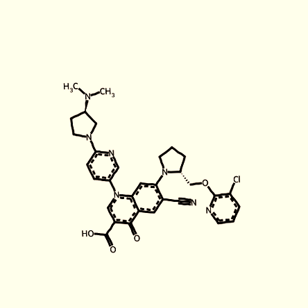 CN(C)[C@@H]1CCN(c2ccc(-n3cc(C(=O)O)c(=O)c4cc(C#N)c(N5CCC[C@@H]5COc5ncccc5Cl)cc43)cn2)C1